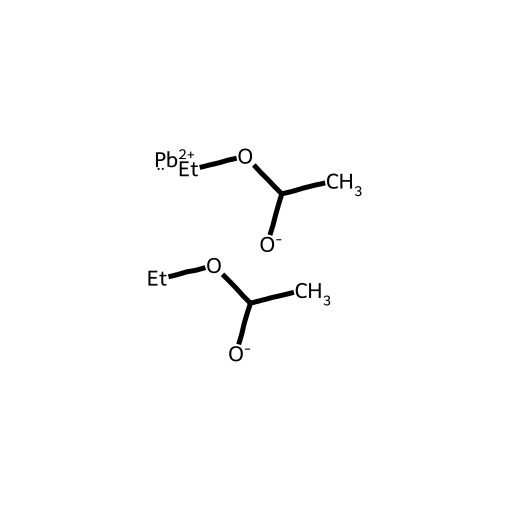 CCOC(C)[O-].CCOC(C)[O-].[Pb+2]